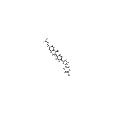 CC(C)COc1ccc(C(=O)Nc2ccc(N3CCC(N4CCN(C)CC4)C3)cc2)cc1